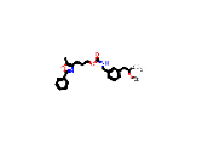 CCOC(Cc1cccc(CNC(=O)OCCCc2nc(-c3ccccc3)oc2C)c1)C(=O)O